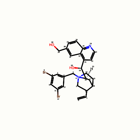 C=CC1C[N+]2(Cc3cc(Br)cc(Br)c3)CCC1C[C@@H]2[C@@H](O)c1ccnc2ccc(CO)cc12